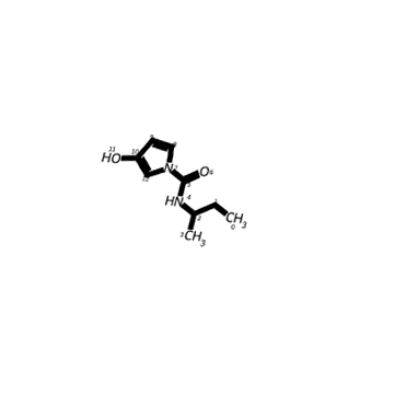 CCC(C)NC(=O)n1ccc(O)c1